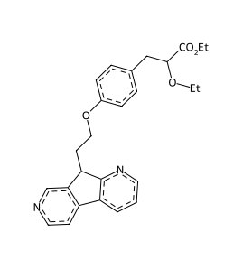 CCOC(=O)C(Cc1ccc(OCCC2c3cnccc3-c3cccnc32)cc1)OCC